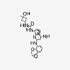 CNc1cc(Nc2cccc3c2OCCO3)nc2c(NC(=O)NC3CC(C)(O)C3)cnn12